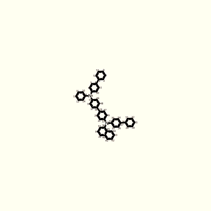 c1ccc(-c2ccc(N(c3ccccc3)c3ccc(-c4ccc(N(c5ccc(-c6ccccc6)cc5)c5cccc6ccccc56)cc4)cc3)cc2)cc1